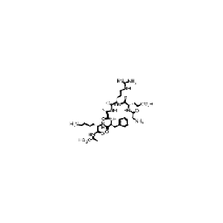 C[C@H](NC(=O)[C@H](CCCCN)NC(=O)[C@H](Cc1ccccc1)NC(=O)[C@H](C)NC(=O)[C@H](CCCNC(=N)N)NC(=O)[C@H](CCC(=O)O)NC(=O)CN)C(=O)O